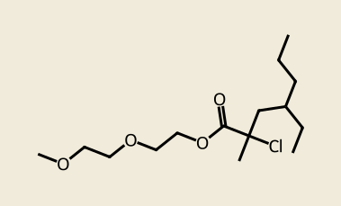 CCCC(CC)CC(C)(Cl)C(=O)OCCOCCOC